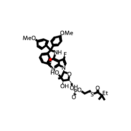 CCC(C)(C)C(=O)SCCO[PH](=O)OC[C@H]1O[C@@H](n2cc(F)c3c(NC(c4ccccc4)(c4ccc(OC)cc4)c4ccc(OC)cc4)ncnc32)C(C)(O)[C@H]1O